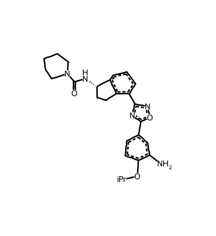 CC(C)Oc1ccc(-c2nc(-c3cccc4c3CC[C@@H]4NC(=O)N3CCCCC3)no2)cc1N